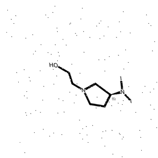 OCCN1CC[C@H](N(I)I)C1